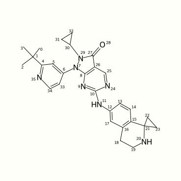 CC(C)(C)c1cc(-n2c3nc(Nc4ccc5c(c4)CCNC54CC4)ncc3c(=O)n2C2CC2)ccn1